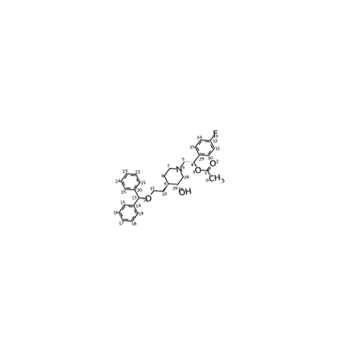 CC(=O)O[C@H](CN1CC[C@H](CCOC(c2ccccc2)c2ccccc2)[C@@H](O)C1)c1ccc(F)cc1